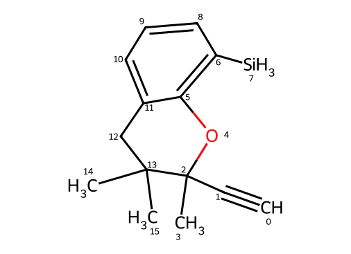 C#CC1(C)Oc2c([SiH3])cccc2CC1(C)C